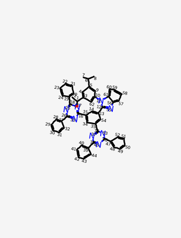 CC(C)c1cc(C(C)C)cc(-n2c(-c3cc(-c4nc(-c5ccccc5)nc(-c5ccccc5)n4)cc(-c4nc(-c5ccccc5)nc(-c5ccccc5)n4)c3)nc3ccccc32)c1